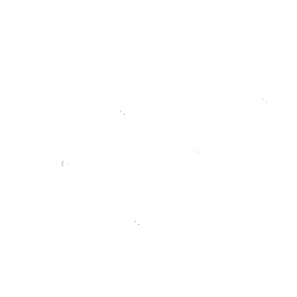 NCc1cc(-c2c3nc(c(-c4ccccc4)c4ccc([nH]4)c(-c4ccccc4)c4nc(c(-c5ccccc5)c5ccc2[nH]5)C=C4)C=C3)ccc1O